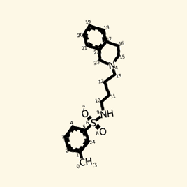 Cc1cccc(S(=O)(=O)NCCCCN2CCc3ccccc3C2)c1